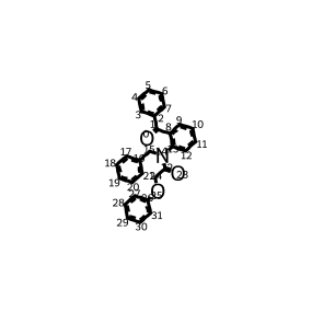 O=C(c1ccccc1)c1ccccc1N(Cc1ccccc1)C(=O)COc1ccccc1